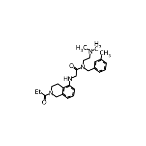 CCC(=O)N1CCc2c(cccc2NCC(=O)N(CCN(C)C)Cc2cccc(C)c2)C1